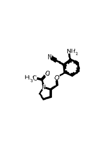 CC(=O)N1CCCC1COc1cccc(N)c1C#N